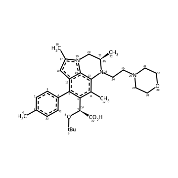 Cc1ccc(-c2c([C@H](OC(C)(C)C)C(=O)O)c(C)c3c4c2cc(C)n4C[C@@H](C)N3CCN2CCOCC2)cc1